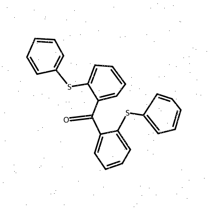 O=C(c1ccccc1Sc1ccccc1)c1ccccc1Sc1ccccc1